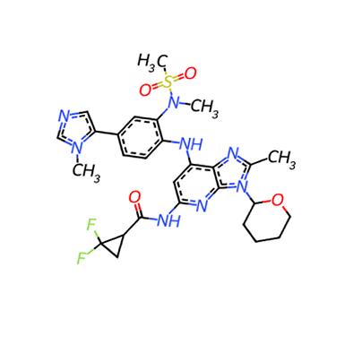 Cc1nc2c(Nc3ccc(-c4cncn4C)cc3N(C)S(C)(=O)=O)cc(NC(=O)C3CC3(F)F)nc2n1C1CCCCO1